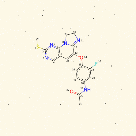 CSc1ncc2c(n1)N1CCN=C1C(Oc1ccc(NC(C)=O)cc1F)=C2